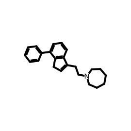 C1=C(CCN2CCCCCC2)c2cccc(-c3ccccc3)c2C1